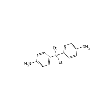 CC[Si](CC)(c1ccc(N)cc1)c1ccc(N)cc1